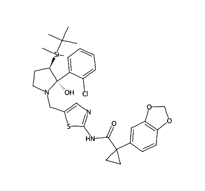 CC(C)(C)[Si](C)(C)[C@@H]1CCN(Cc2cnc(NC(=O)C3(c4ccc5c(c4)OCO5)CC3)s2)[C@]1(O)c1ccccc1Cl